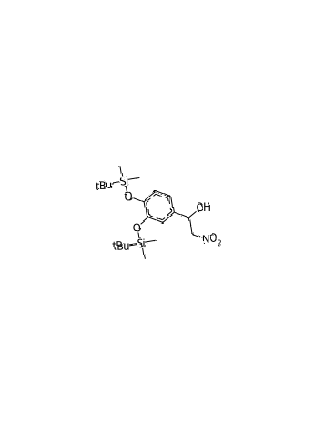 CC(C)(C)[Si](C)(C)Oc1ccc(C(O)C[N+](=O)[O-])cc1O[Si](C)(C)C(C)(C)C